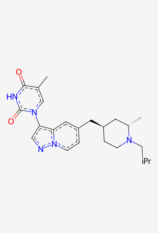 Cc1cn(-c2cnn3ccc(C[C@@H]4CCN(CC(C)C)[C@@H](C)C4)cc23)c(=O)[nH]c1=O